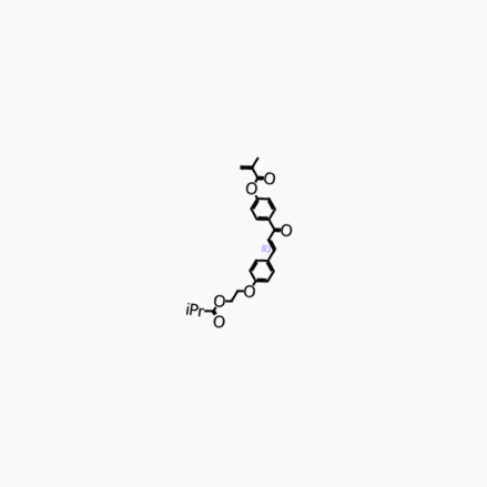 C=C(C)C(=O)Oc1ccc(C(=O)/C=C/c2ccc(OCCOC(=O)C(C)C)cc2)cc1